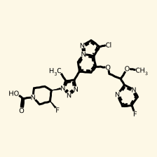 COC(COc1cc(-c2nnn([C@@H]3CCN(C(=O)O)C[C@@H]3F)c2C)cn2ncc(Cl)c12)c1ncc(F)cn1